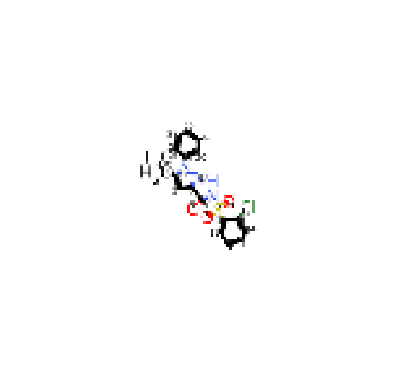 Cc1cc(C(=O)NS(=O)(=O)c2ccccc2Cl)nn1-c1ccccc1C(F)(F)F